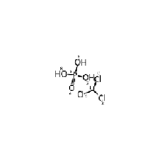 ClC(Cl)Cl.O=P(O)(O)O